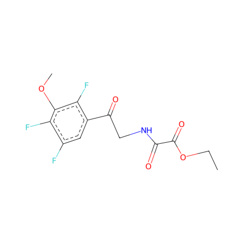 CCOC(=O)C(=O)NCC(=O)c1cc(F)c(F)c(OC)c1F